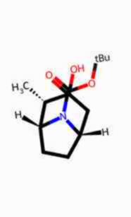 C[C@@H]1C(O)C[C@@H]2CC[C@H]1N2C(=O)OC(C)(C)C